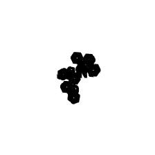 c1ccc(-c2cc(-c3ccc(-c4cccc5c4oc4ccccc45)c4c3oc3ccccc34)nc(-c3ccccc3-c3ccccn3)n2)cc1